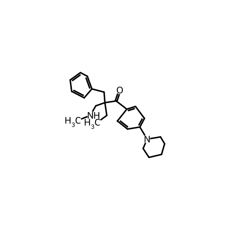 CCC(CNC)(Cc1ccccc1)C(=O)c1ccc(N2CCCCC2)cc1